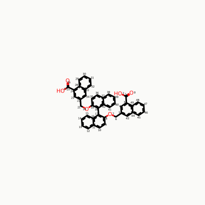 O=C(O)c1cc(COc2ccc3ccccc3c2-c2c(OCc3cc(C(=O)O)c4ccccc4c3)ccc3ccccc23)cc2ccccc12